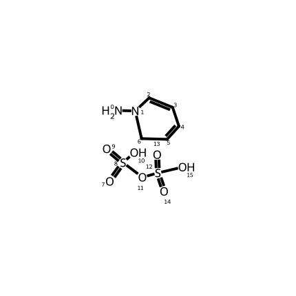 NN1C=CC=CC1.O=S(=O)(O)OS(=O)(=O)O